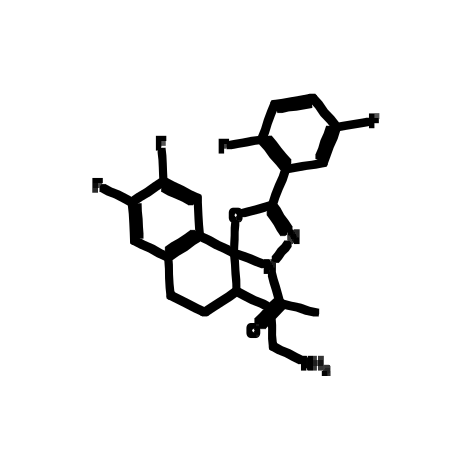 CC(=O)N1N=C(c2cc(F)ccc2F)OC12c1cc(F)c(F)cc1CCC2CCN